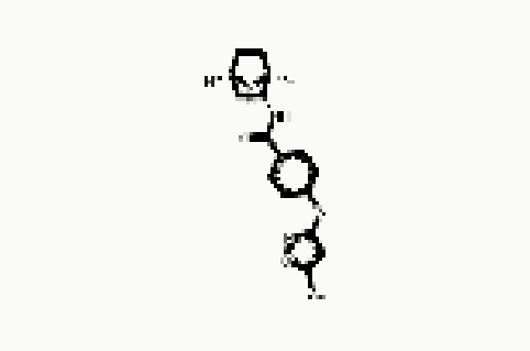 CC(=O)c1cc(Sc2ccc(C(=O)N[C@@H]3C[C@H]4CC[C@@H]3N4)cc2)no1